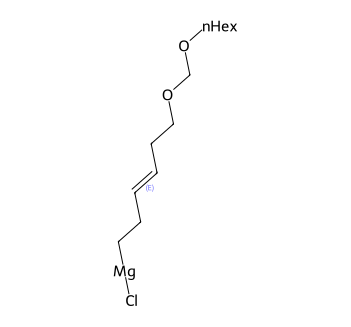 CCCCCCOCOCC/C=C/C[CH2][Mg][Cl]